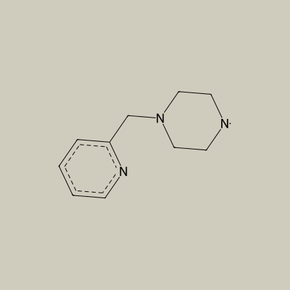 c1ccc(CN2CC[N]CC2)nc1